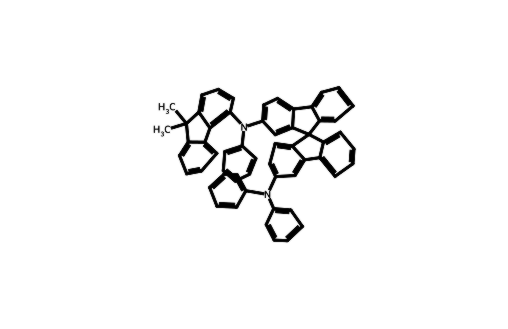 CC1(C)c2ccccc2-c2c(N(c3ccccc3)c3ccc4c(c3)C3(c5ccccc5-c5cc(N(c6ccccc6)c6ccccc6)ccc53)c3ccccc3-4)cccc21